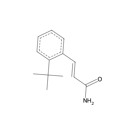 CC(C)(C)c1ccccc1/C=C/C(N)=O